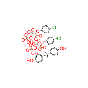 CC(C)(c1ccc(O)cc1)c1ccc(O)cc1.O=S(=O)(O)OS(=O)(=O)S(=O)(=O)Oc1ccc(Cl)cc1.O=S(=O)(O)OS(=O)(=O)S(=O)(=O)Oc1ccc(Cl)cc1